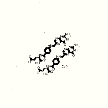 Nc1nc2ncc(CNc3ccc(C(=O)N[C@@H](CCC(=O)[O-])C(=O)O)cc3)nc2c(=O)[nH]1.Nc1nc2ncc(CNc3ccc(C(=O)N[C@@H](CCC(=O)[O-])C(=O)O)cc3)nc2c(=O)[nH]1.[Ca+2]